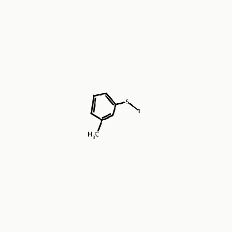 Cc1cccc(SI)c1